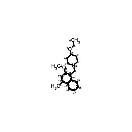 CCOC1CCN(Cc2c(OC)cc(C)c3ccccc23)CC1